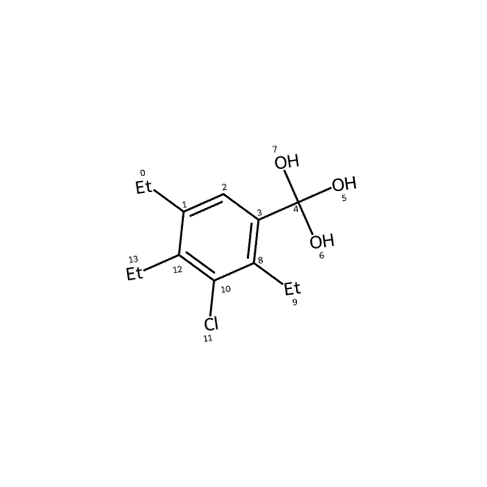 CCc1cc(C(O)(O)O)c(CC)c(Cl)c1CC